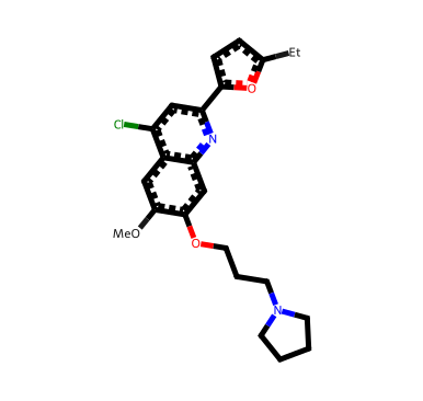 CCc1ccc(-c2cc(Cl)c3cc(OC)c(OCCCN4CCCC4)cc3n2)o1